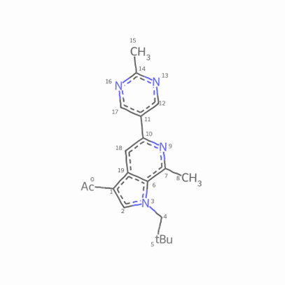 CC(=O)c1cn(CC(C)(C)C)c2c(C)nc(-c3cnc(C)nc3)cc12